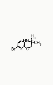 CC1(C)COc2nc(Br)ccc2N1